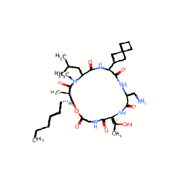 CCCCCC[C@H]1OC(=O)CNC(=O)/C(=C(\C)O)NC(=O)C(CN)NC(=O)C(C2CC3(CCC3)C2)NC(=O)C(CC(C)C)N(C)C(=O)C1C